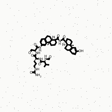 CC(C)[C@H](NC=O)C(=O)N[C@@H](CCCNC(N)=O)C(=O)N[C@@H](C=O)C(=O)Nc1ccc2c(c1)[C@@]1(C)CCC[C@](C)(C(=O)NC(=O)[C@@]3(C)CCC[C@]4(C)c5cc(O)ccc5CC[C@@H]34)[C@@H]1CC2